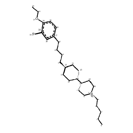 CCCCC[Si@H]1CC[C@H]([C@H]2CC[C@H](CCCCc3ccc(OCC)c(F)c3)CC2)CC1